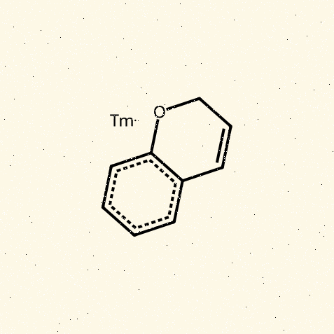 C1=Cc2ccccc2OC1.[Tm]